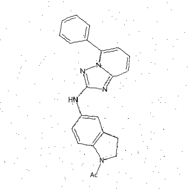 CC(=O)N1CCc2cc(Nc3nc4cccc(-c5ccccc5)n4n3)ccc21